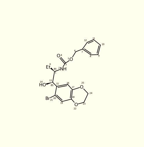 CC[C@@H](NC(=O)OCc1ccccc1)[C@H](O)c1cc2c(cc1Br)OCCO2